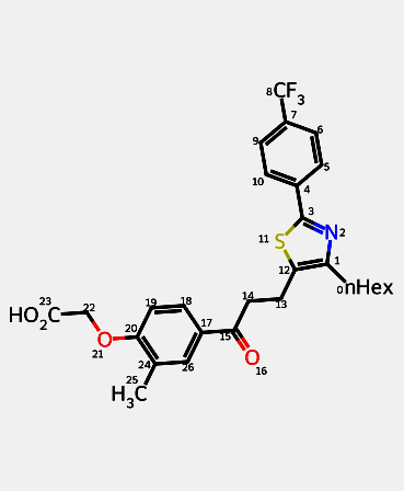 CCCCCCc1nc(-c2ccc(C(F)(F)F)cc2)sc1CCC(=O)c1ccc(OCC(=O)O)c(C)c1